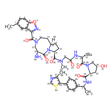 Cc1ccc2onc(C(=O)N3CC[C@H]4CC[C@@H](C(=O)N(C)CC(=O)N[C@H](C(=O)N5C[C@H](O)C[C@H]5C(=O)N[C@@H](C)c5ccc(-c6scnc6C)cc5)C(C)(C)C)N4C(=O)[C@@H](N)C3)c2c1